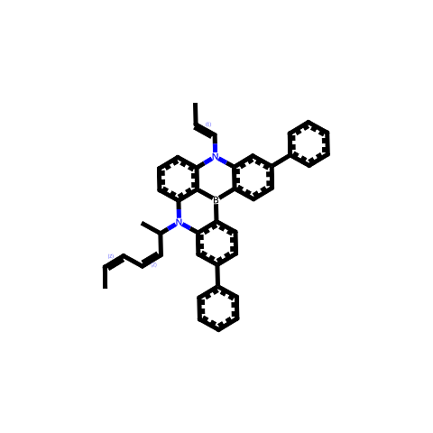 C/C=C\C=C/C(C)N1c2cc(-c3ccccc3)ccc2B2c3ccc(-c4ccccc4)cc3N(/C=C/C)c3cccc1c32